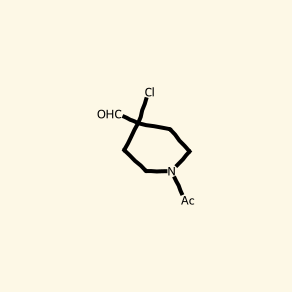 CC(=O)N1CCC(Cl)(C=O)CC1